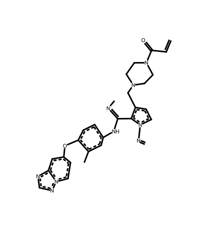 C=CC(=O)N1CCN(Cc2ccn(N=C)c2/C(=N\C)Nc2ccc(Oc3ccn4ncnc4c3)c(C)c2)CC1